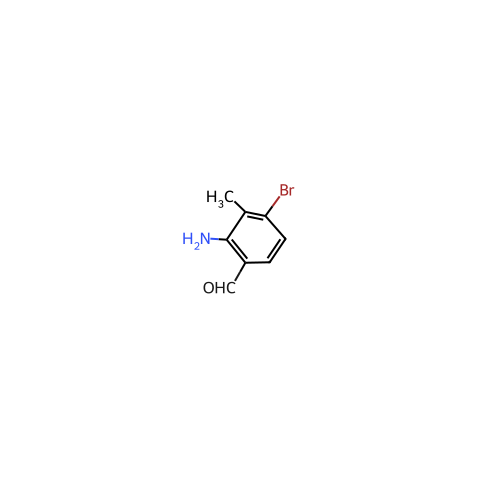 Cc1c(Br)ccc(C=O)c1N